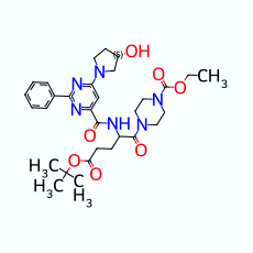 CCOC(=O)N1CCN(C(=O)C(CCC(=O)OC(C)(C)C)NC(=O)c2cc(N3CC[C@H](O)C3)nc(-c3ccccc3)n2)CC1